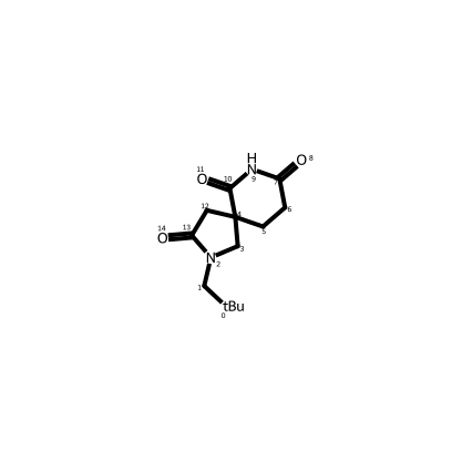 CC(C)(C)CN1CC2(CCC(=O)NC2=O)CC1=O